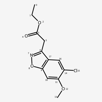 CCOC(=O)Cc1noc2cc(OC)c(Cl)cc12